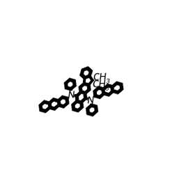 CC1(C)c2ccccc2-c2cc3c(N(c4ccccc4)c4ccc5cc6ccccc6cc5c4)c4ccccc4c(N(c4ccccc4)c4ccc5cc6ccccc6cc5c4)c3cc21